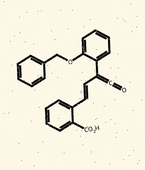 O=C=C(/C=C/c1ccccc1C(=O)O)c1ccccc1OCc1ccccc1